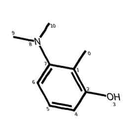 Cc1c(O)cccc1N(C)C